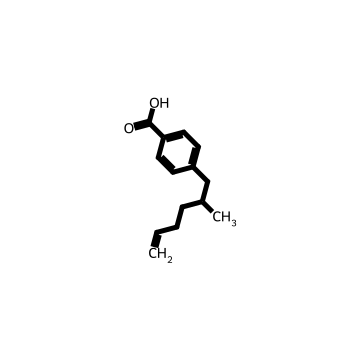 C=CCCC(C)Cc1ccc(C(=O)O)cc1